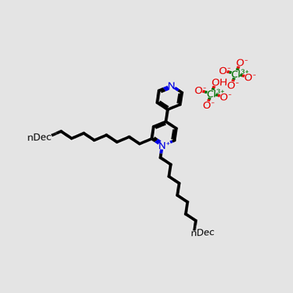 CCCCCCCCCCCCCCCCCCc1cc(-c2ccncc2)cc[n+]1CCCCCCCCCCCCCCCCCC.[O-][Cl+3]([O-])([O-])O.[O-][Cl+3]([O-])([O-])[O-]